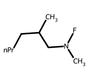 CCCCC(C)CN(C)F